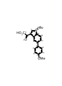 CCCCn1cc(C(=O)C(=O)O)c2cc(-c3ccc(OC)cc3)ccc21